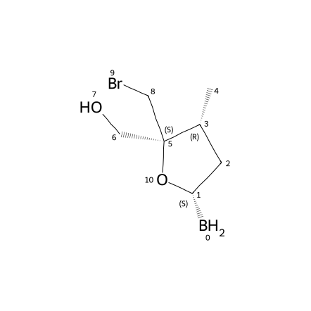 B[C@H]1C[C@@H](C)[C@](CO)(CBr)O1